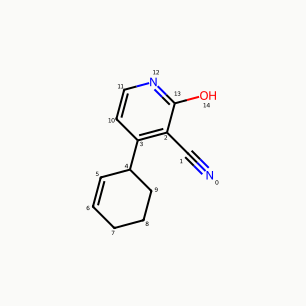 N#Cc1c(C2C=CCCC2)ccnc1O